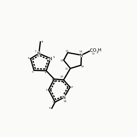 Cc1cc(-c2ccn(C)n2)c(C2CCN(C(=O)O)C2)cn1